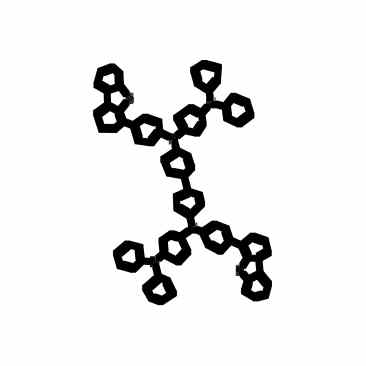 c1ccc(N(c2ccccc2)c2ccc(N(c3ccc(-c4ccc(N(c5ccc(-c6cccc7c6sc6ccccc67)cc5)c5ccc(N(c6ccccc6)c6ccccc6)cc5)cc4)cc3)c3ccc(-c4cccc5c4sc4ccccc45)cc3)cc2)cc1